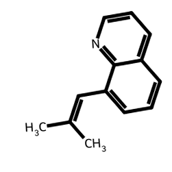 CC(C)=Cc1cccc2cccnc12